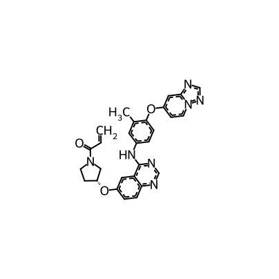 C=CC(=O)N1CC[C@@H](Oc2ccc3ncnc(Nc4ccc(Oc5ccn6ncnc6c5)c(C)c4)c3c2)C1